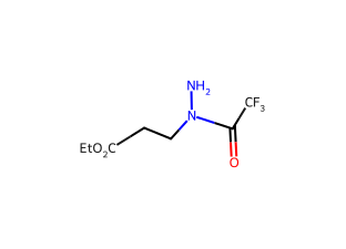 CCOC(=O)CCN(N)C(=O)C(F)(F)F